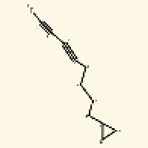 FC#CC#CCCCCC1[CH]C1